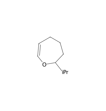 CC(C)C1CCCC=CO1